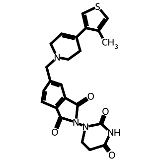 Cc1cscc1C1=CCN(Cc2ccc3c(c2)C(=O)N(N2CCC(=O)NC2=O)C3=O)CC1